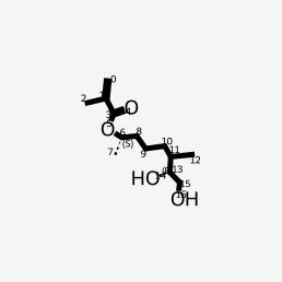 C=C(C)C(=O)O[C@@H](C)CCCC(C)[C@@H](O)CO